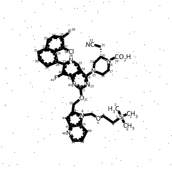 C[Si](C)(C)CCOCn1c(COc2nc(N3CCN(C(=O)O)[C@@H](CC#N)C3)c3cnc(-c4cccc5ccc(F)c(Cl)c45)c(F)c3n2)cc2ncccc21